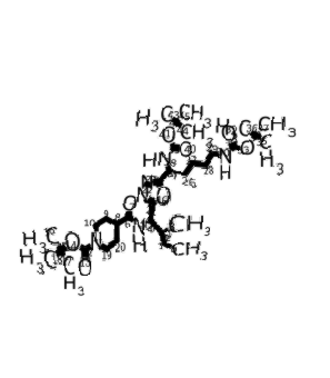 CC[C@H](C)[C@H](NC(=O)C1CCN(C(=O)OC(C)(C)C)CC1)c1nnc([C@H](CCCCNC(=O)OC(C)(C)C)NC(=O)OC(C)(C)C)o1